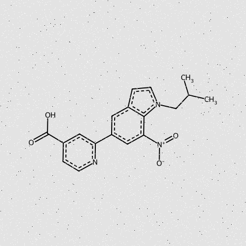 CC(C)Cn1ccc2cc(-c3cc(C(=O)O)ccn3)cc([N+](=O)[O-])c21